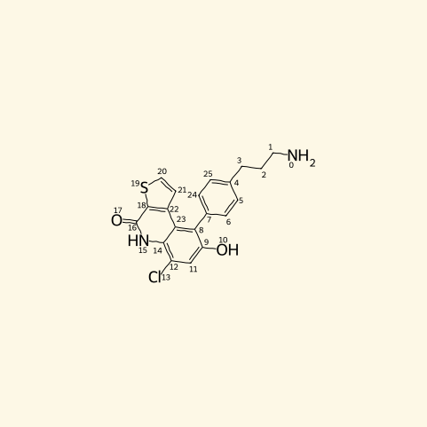 NCCCc1ccc(-c2c(O)cc(Cl)c3[nH]c(=O)c4sccc4c23)cc1